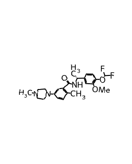 COc1cc([C@@H](C)NC(=O)c2cc(N3CCN(C)CC3)ccc2C)ccc1OC(F)F